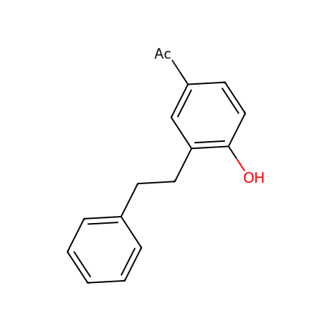 CC(=O)c1ccc(O)c(CCc2ccccc2)c1